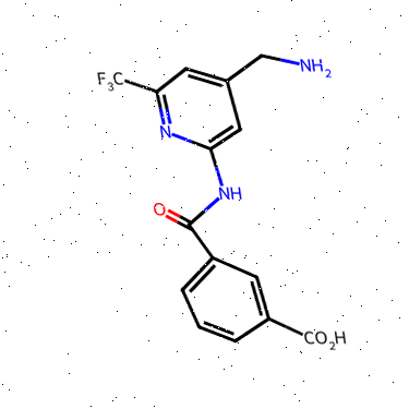 NCc1cc(NC(=O)c2cccc(C(=O)O)c2)nc(C(F)(F)F)c1